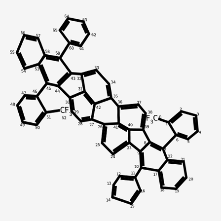 FC(F)(F)c1ccccc1-c1c2c(c(-c3ccccc3)c3ccccc13)-c1ccc3c4ccc5c6c(ccc(c7ccc-2c1c37)c64)-c1c-5c(-c2ccccc2C(F)(F)F)c2ccccc2c1-c1ccccc1